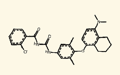 Cc1cc(NC(=O)NC(=O)c2ccccc2Cl)cc(C)c1Oc1ccc(N(C)C)c2c1CCCC2